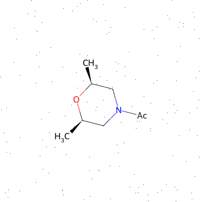 CC(=O)N1C[C@@H](C)O[C@@H](C)C1